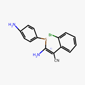 N#C/C(=C(\N)Sc1ccc(N)cc1)c1ccccc1Br